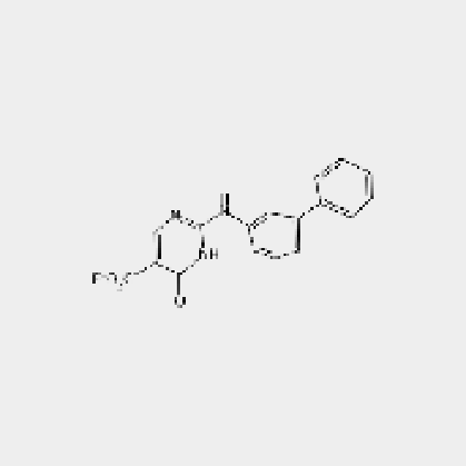 CCOC(=O)c1cnc(Nc2cccc(-c3ccccc3)c2)[nH]c1=O